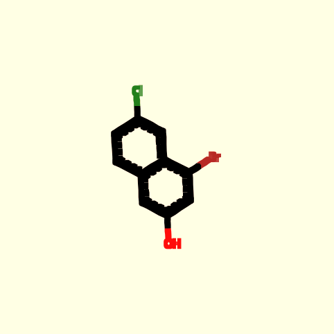 Oc1cc(Br)c2cc(Cl)ccc2c1